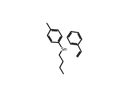 C=Cc1ccccc1.CCC[CH2][Sn][c]1ccc(C)cc1